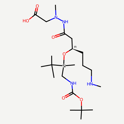 CNCCC[C@H](CC(=O)NN(C)CC(=O)O)O[Si](C)(CNC(=O)OC(C)(C)C)C(C)(C)C